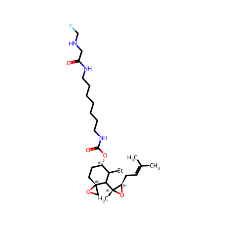 CCC1C([C@@]2(C)O[C@@H]2CC=C(C)C)[C@]2(CC[C@@H]1OC(=O)NCCCCCCCNC(=O)CNCF)CO2